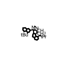 CC(C)Cc1cccc2ccc3c(c12)C(C)(C)c1ncnc(-c2cc(C(C)(C)C)c4ccccc4c2)c1-3